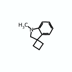 CN1CC2(CCC2)c2ccccc21